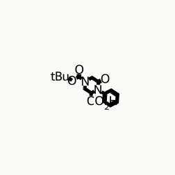 CC(C)(C)OC(=O)N1CC(=O)N(c2ccccc2)C(C(=O)O)C1